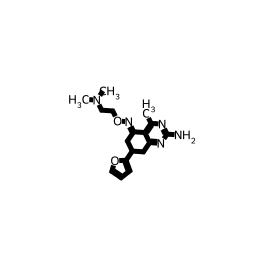 Cc1nc(N)nc2c1C(=NOCCN(C)C)CC(c1ccco1)C2